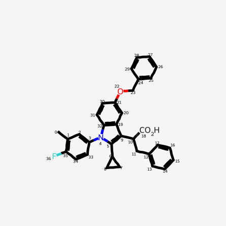 Cc1cc(-n2c(C3CC3)c(C(Cc3ccccc3)C(=O)O)c3cc(OCc4ccccc4)ccc32)ccc1F